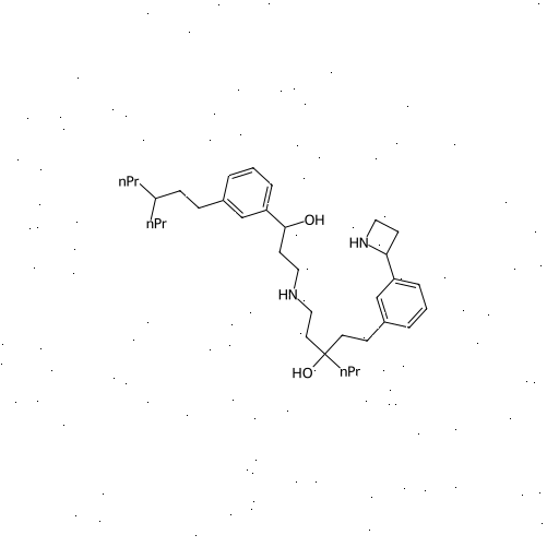 CCCC(CCC)CCc1cccc(C(O)CCNCCC(O)(CCC)CCc2cccc(C3CCN3)c2)c1